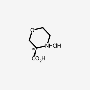 Cl.O=C(O)[C@H]1COCCN1